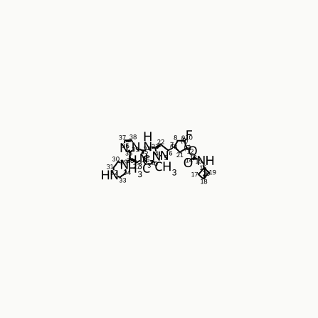 CC(C)(C)n1nc([C@H]2C[C@@H](F)[C@@H](OC(=O)NC34CC(C3)C4)C2)cc1Nc1ncc(N2CCNCC2)c2nccn12